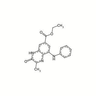 CCOC(=O)c1cc(Nc2ccccc2)c2nc(C)c(=O)[nH]c2c1